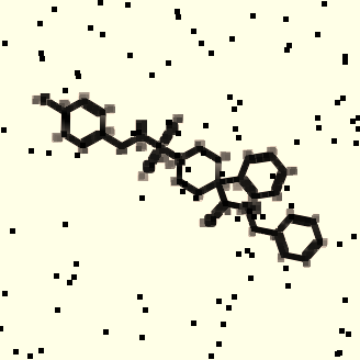 O=C(NCc1ccccc1)C1(c2ccccc2)CCN(S(=O)(=O)NCc2ccc(F)cc2)CC1